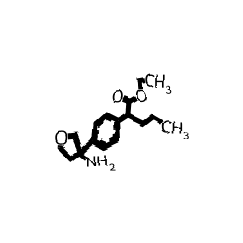 CCCC(C(=O)OCC)c1ccc(C2(N)CCOC2)cc1